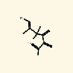 C=C(C(=C)C(C)(C)/C(C)=C/CC)C(C)=N